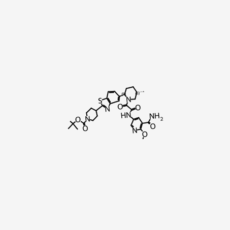 COc1ncc(NC(=O)C(=O)N2C[C@@H](C)CC[C@@H]2c2ccc3sc(C4CCN(C(=O)OC(C)(C)C)CC4)nc3c2)cc1C(N)=O